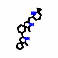 CC1NC(CC2CCCC3(CC3)N2)CC12CCCC(C1CC3(CCCC3)C(C)N1)C2